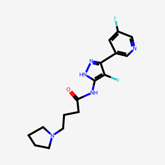 O=C(CCCN1CCCC1)Nc1[nH]nc(-c2cncc(F)c2)c1F